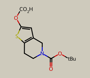 CC(C)(C)OC(=O)N1CCc2sc(OC(=O)O)cc2C1